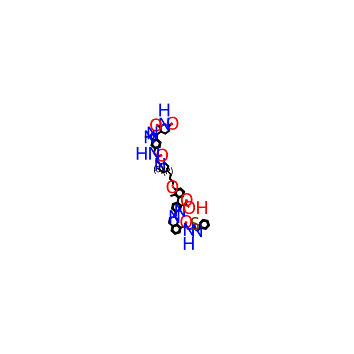 Cc1c(OCCC[C@@H]2CCN(CC(=O)Nc3ccc4c(C5CCC(=O)NC5=O)nn(C)c4c3)[C@@H](C)C2)cccc1-c1ccc(N2CCc3cccc(C(=O)Nc4nc5ccccc5s4)c3C2)nc1C(=O)O